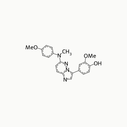 COc1ccc(N(C)c2ccc3ncc(-c4ccc(O)c(OC)c4)n3n2)cc1